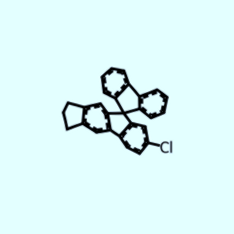 Clc1ccc2c(c1)C1(c3ccccc3-c3ccccc31)c1cc3c(cc1-2)CCC3